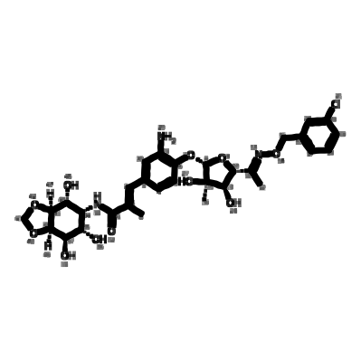 CC(=Cc1ccc(O[C@@H]2O[C@H](C(C)=NOCc3cccc(Cl)c3)[C@@H](O)[C@@]2(C)O)c(N)c1)C(=O)N[C@@H]1[C@H](O)[C@@H](O)[C@H]2OCO[C@H]2[C@@H]1O